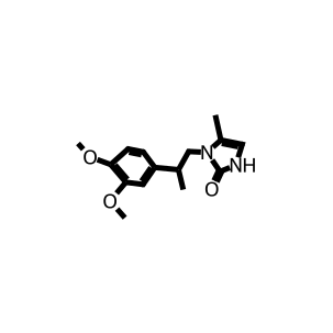 COc1ccc(C(C)Cn2c(C)c[nH]c2=O)cc1OC